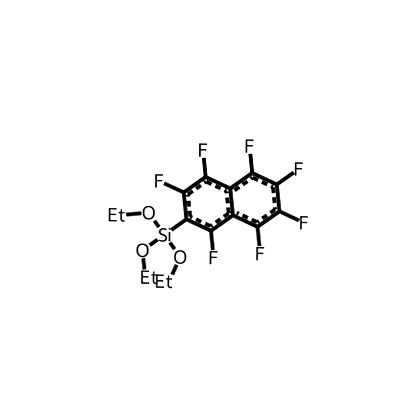 CCO[Si](OCC)(OCC)c1c(F)c(F)c2c(F)c(F)c(F)c(F)c2c1F